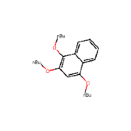 CCCCOc1cc(OCCCC)c2ccccc2c1OCCCC